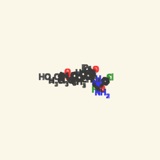 CC(C)C1=C2[C@H]3CC[C@@H]4[C@@]5(C)CC[C@H](OC(=O)[C@H]6C[C@@H](C(=O)O)C6(C)C)C(C)(C)[C@@H]5CC[C@@]4(C)[C@]3(C)CC[C@@]2(CCNCC(F)(CN)NC(=O)c2ccc(Cl)cc2)CC1=O